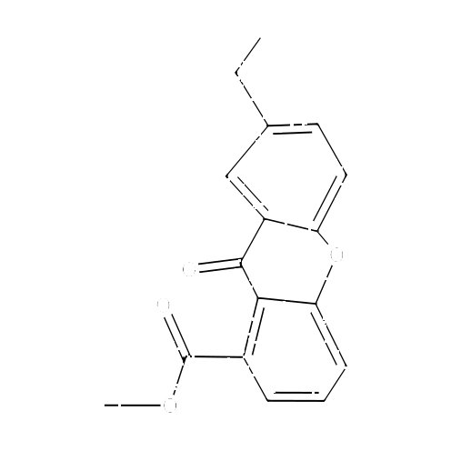 CCc1ccc2oc3cccc(C(=O)OC)c3c(=O)c2c1